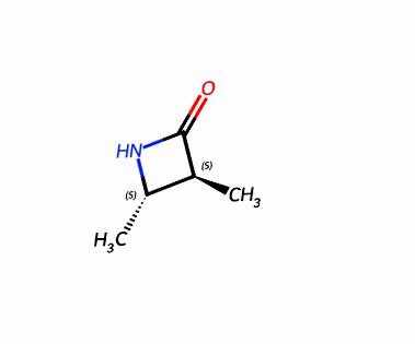 C[C@@H]1NC(=O)[C@H]1C